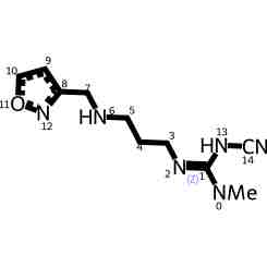 CN/C(=N/CCCNCc1ccon1)NC#N